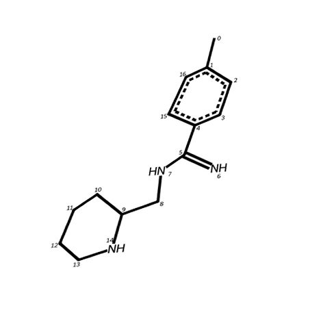 Cc1ccc(C(=N)NCC2CCCCN2)cc1